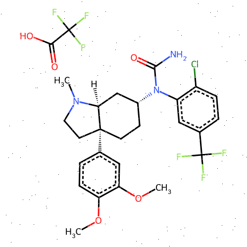 COc1ccc([C@@]23CC[C@@H](N(C(N)=O)c4cc(C(F)(F)F)ccc4Cl)C[C@@H]2N(C)CC3)cc1OC.O=C(O)C(F)(F)F